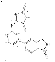 O=C1NC(=S)NC1=Cc1cccc(-c2ccc3c(c2)CNC3=O)c1